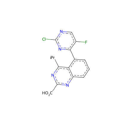 CC(C)c1nc(C(=O)O)nc2cccc(-c3nc(Cl)ncc3F)c12